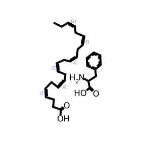 CC/C=C\C/C=C\C/C=C\C/C=C\C/C=C\C/C=C\CCC(=O)O.NC(Cc1ccccc1)C(=O)O